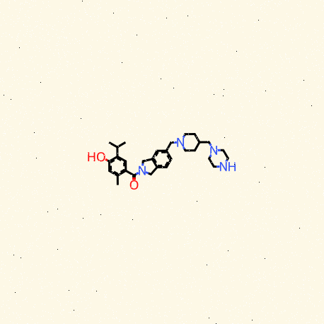 Cc1cc(O)c(C(C)C)cc1C(=O)N1Cc2ccc(CN3CCC(CN4CCNCC4)CC3)cc2C1